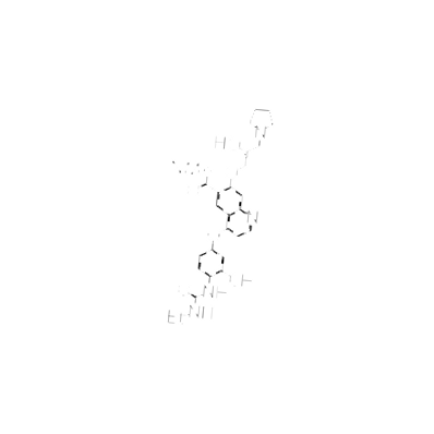 CCNC(=O)Nc1ccc(Oc2ccnc3cc(OC[C@H](O)CN4CCCC4)c(C(=O)NC)cc23)cc1C